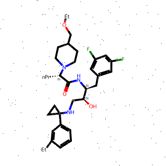 CCC[C@@H](C(=O)N[C@@H](Cc1cc(F)cc(F)c1)[C@@H](O)CNC1(c2cccc(CC)c2)CC1)N1CCC(COCC)CC1